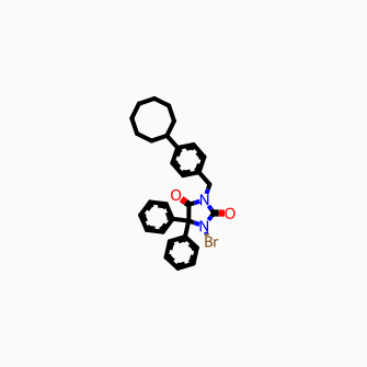 O=C1N(Cc2ccc(C3CCCCCCC3)cc2)C(=O)C(c2ccccc2)(c2ccccc2)N1Br